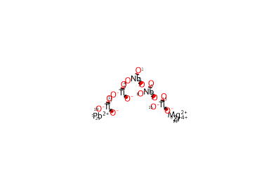 [Mg+2].[O]=[Nb](=[O])[O-].[O]=[Nb](=[O])[O-].[O]=[Ti]([O-])[O-].[O]=[Ti]([O-])[O-].[O]=[Ti]([O-])[O-].[Pb+2].[Zr+4]